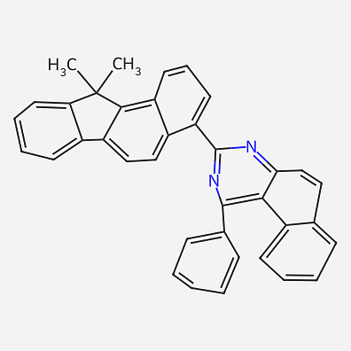 CC1(C)c2ccccc2-c2ccc3c(-c4nc(-c5ccccc5)c5c(ccc6ccccc65)n4)cccc3c21